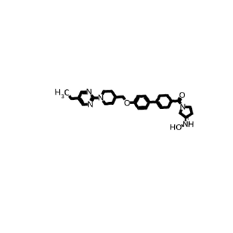 CCc1cnc(N2CCC(COc3ccc(C4=CCC(C(=O)N5CC[C@@H](NO)C5)CC4)cc3)CC2)nc1